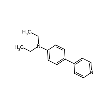 CCN(CC)c1ccc(-c2ccncc2)cc1